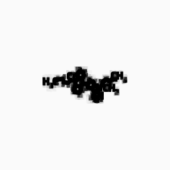 C=C(/C=C\C=C/C)c1c2ccccc2c(-c2ccc3c(c2)c2cccnc2n3C(=C)/C=C\C(I)=C/C)c2ccccc12